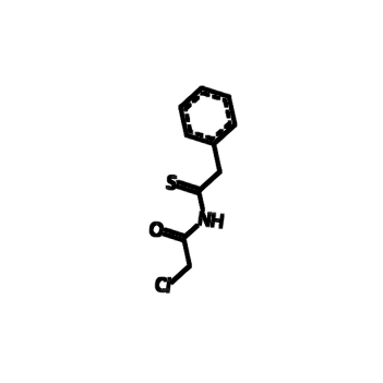 O=C(CCl)NC(=S)Cc1ccccc1